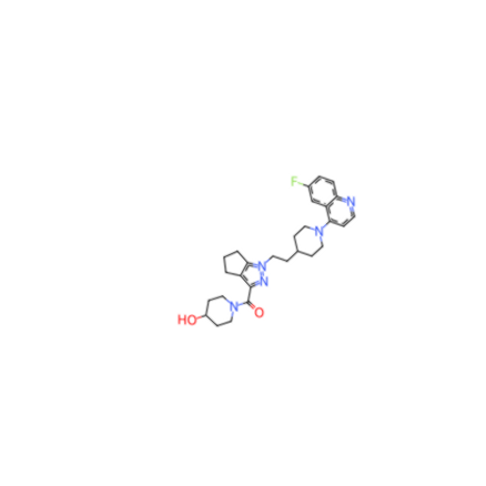 O=C(c1nn(CCC2CCN(c3ccnc4ccc(F)cc34)CC2)c2c1CCC2)N1CCC(O)CC1